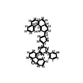 c1ccc(-c2nc(-c3ccc(-c4ccc5ccc6ccc7ccccc7c6c5c4)cc3)nc(-c3cccc4oc5ccccc5c34)n2)cc1